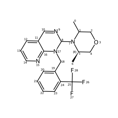 CC1COC[C@@H](C)N1C1N=Cc2cccnc2N1Cc1ccccc1C(F)(F)F